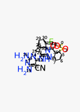 CS(=O)(=O)c1cccc2nc([C@H](Nc3nc(N)nc(N)c3C#N)C3CC3)n(-c3ccccc3F)c(=O)c12